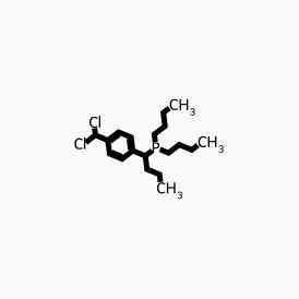 CCCCP(CCCC)C(CCC)c1ccc(C(Cl)Cl)cc1